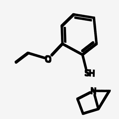 C1CN2CC12.CCOc1ccccc1S